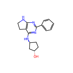 O[C@H]1CC[C@H](Nc2nc(-c3ccccc3)nc3c2CCN3)C1